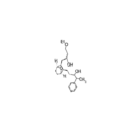 CCOC/C=C(/O)C[C@H]1[C@@H](CCC(O)C(C)c2ccccc2)[C@H]2CC[C@@H]1O2